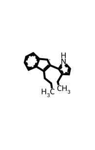 CCCC1=C(c2[nH]ccc2CC)[CH]c2ccccc21